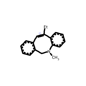 CC/C1=C/c2ccccc2CN(C)c2ccccc21